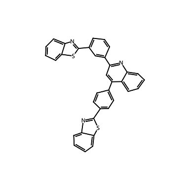 c1cc(-c2cc(-c3ccc(-c4nc5ccccc5s4)cc3)c3ccccc3n2)cc(-c2nc3ccccc3s2)c1